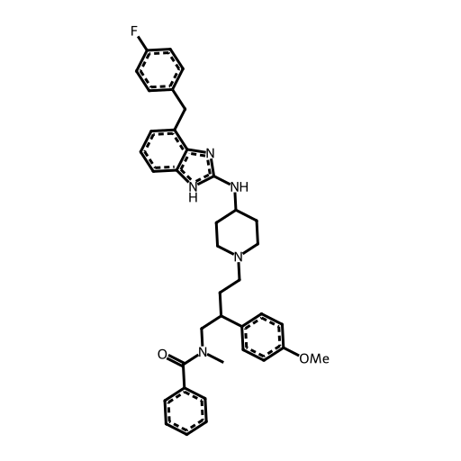 COc1ccc(C(CCN2CCC(Nc3nc4c(Cc5ccc(F)cc5)cccc4[nH]3)CC2)CN(C)C(=O)c2ccccc2)cc1